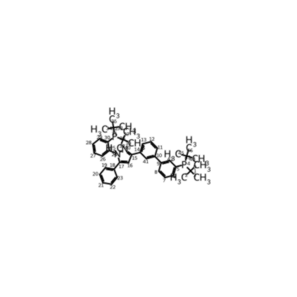 CC(C)(C)P(c1cccc(-c2cccc(-c3cc(-c4ccccc4)n(-c4ccccc4P(C(C)(C)C)C(C)(C)C)n3)c2)c1)C(C)(C)C